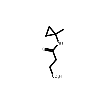 CC1(NC(=O)CCC(=O)O)CC1